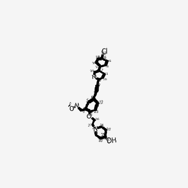 CON=Cc1cc(C#Cc2ccc(-c3ccc(Cl)cc3)cn2)ccc1OCCN1CCC(O)CC1